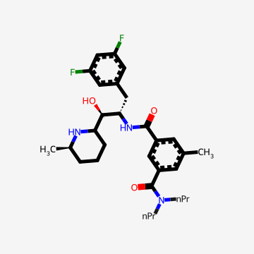 CCCN(CCC)C(=O)c1cc(C)cc(C(=O)N[C@@H](Cc2cc(F)cc(F)c2)[C@H](O)C2CCC[C@@H](C)N2)c1